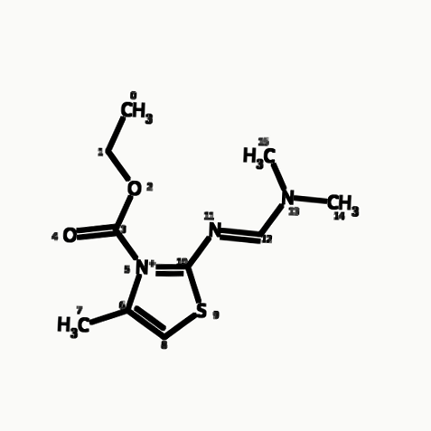 CCOC(=O)[n+]1c(C)csc1/N=C/N(C)C